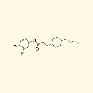 CCCCC1CCC(CCC(=O)Oc2ccc(F)c(F)c2)CC1